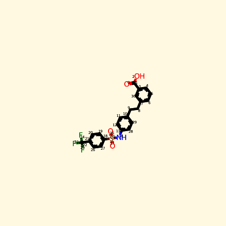 O=C(O)c1cccc(CCc2ccc(NS(=O)(=O)c3ccc(C(F)(F)F)cc3)cc2)c1